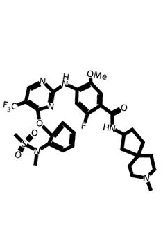 COc1cc(C(=O)NC2CCC3(CCN(C)CC3)C2)c(F)cc1Nc1ncc(C(F)(F)F)c(Oc2ccccc2N(C)S(C)(=O)=O)n1